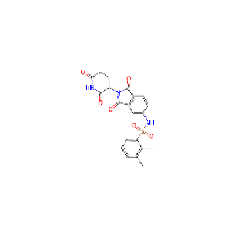 Cc1cccc(S(=O)(=O)Nc2ccc3c(c2)C(=O)N(C2CCC(=O)NC2=O)C3=O)c1C